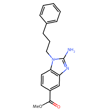 COC(=O)c1ccc2c(c1)nc(N)n2CCCc1ccccc1